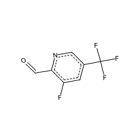 O=Cc1ncc(C(F)(F)F)cc1F